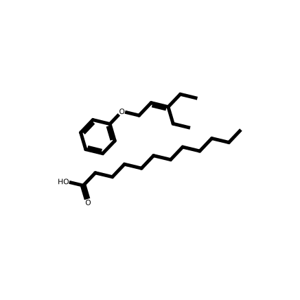 CCC(=CCOc1ccccc1)CC.CCCCCCCCCCCC(=O)O